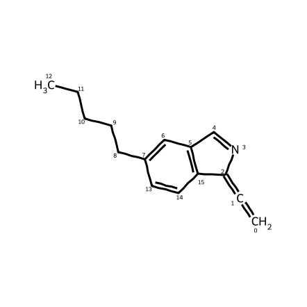 C=C=C1N=Cc2cc(CCCCC)ccc21